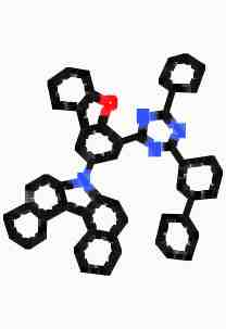 c1ccc(-c2cccc(-c3nc(-c4ccccc4)nc(-c4cc(-n5c6ccc7ccccc7c6c6c7ccccc7ccc65)cc5c4oc4ccccc45)n3)c2)cc1